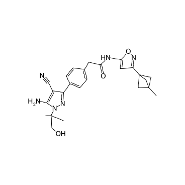 CC12CC(c3cc(NC(=O)Cc4ccc(-c5nn(C(C)(C)CO)c(N)c5C#N)cc4)on3)(C1)C2